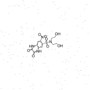 O=c1[nH]c2cc([N+](=O)[O-])c(S(=O)(=O)N(CCO)CCO)cc2[nH]c1=O